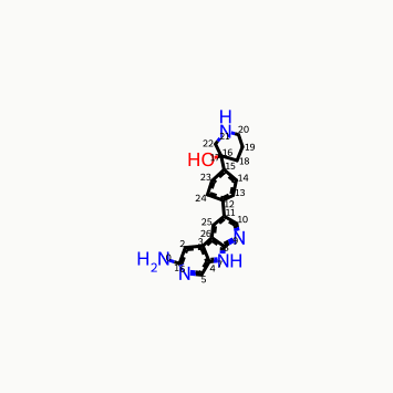 Nc1cc2c(cn1)[nH]c1ncc(-c3ccc(C4(O)CCCNC4)cc3)cc12